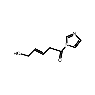 O=C(CC=CCO)n1ccnc1